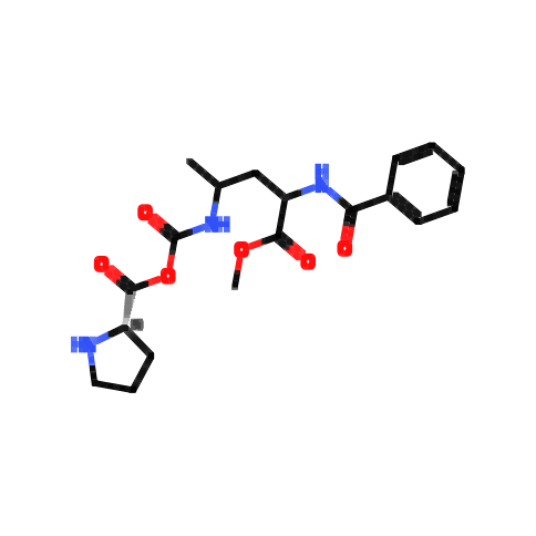 COC(=O)C(CC(C)NC(=O)OC(=O)[C@@H]1CCCN1)NC(=O)c1ccccc1